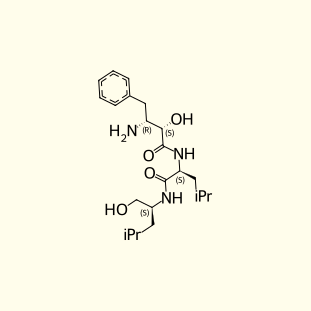 CC(C)C[C@@H](CO)NC(=O)[C@H](CC(C)C)NC(=O)[C@@H](O)[C@H](N)Cc1ccccc1